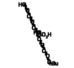 CCCCOCCOCCOCCOCCOCCOCCOCCOCCOCCOCCO.O=S(=O)(O)O